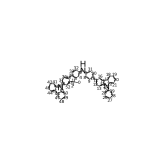 CC1(C)c2cc(Nc3ccc(-c4ccc5c(c4)c4ccccc4n5-c4ccccc4)cc3)ccc2-c2ccc(-n3c4ccccc4c4ccccc43)cc21